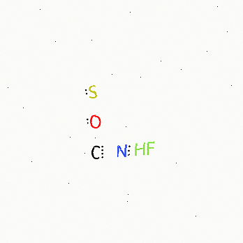 F.[C].[N].[O].[S]